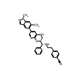 Cc1cc2c(cnn2C)cc1-c1cnc2c(c1)NC[C@@H]([C@H](NCCc1ccc(C#N)cc1)c1ccccc1)O2